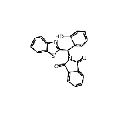 O=C1c2ccccc2C(=O)N1C(c1nc2ccccc2s1)c1ccccc1O